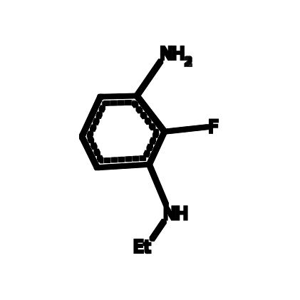 CCNc1cccc(N)c1F